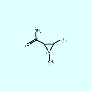 CC1C(C(N)=O)N1C